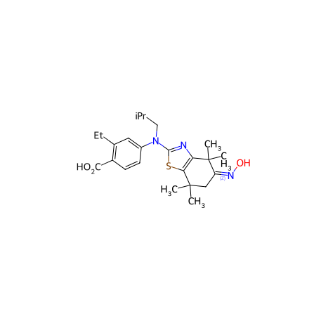 CCc1cc(N(CC(C)C)c2nc3c(s2)C(C)(C)C/C(=N/O)C3(C)C)ccc1C(=O)O